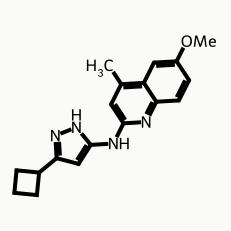 COc1ccc2nc(Nc3cc(C4CCC4)n[nH]3)cc(C)c2c1